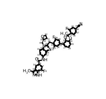 Cc1n[nH]c2c(F)cc(C(=O)Nc3ccc4c(c3)nc(Cc3c(F)cc(-c5cccc6c5OC(C)(c5ccc(C#N)cc5F)O6)cc3F)n4C[C@@H]3CCO3)cc12